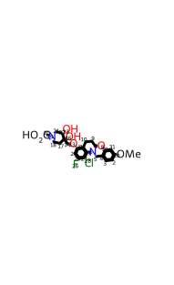 COc1ccc(CN2C(=O)CCc3c(OCC4(O)CCN(C(=O)O)CC4O)cc(F)c(Cl)c32)cc1